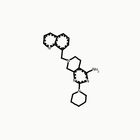 Nc1nc(N2CCCCC2)nc2c1CCN(Cc1cccc3cccnc13)C2